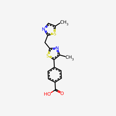 Cc1cnc(Cc2nc(C)c(-c3ccc(C(=O)O)cc3)s2)s1